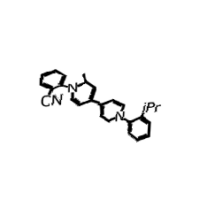 CC(C)c1ccccc1N1C=CC(C2=CC(C)N(c3ccccc3C#N)C=C2)=CC1